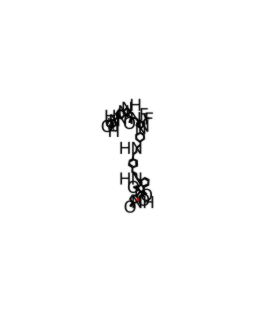 O=C1CCC(N2C(=O)c3cccc(NCCc4ccc(CCNC[C@H]5CC[C@H](n6cc(NC(=O)c7cnn8ccc(N9C[C@H]%10C[C@@H]9CO%10)nc78)c(C(F)F)n6)CC5)cc4)c3C2=O)C(=O)N1